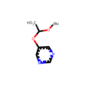 CC(C)(C)OC(Oc1cncnc1)C(=O)O